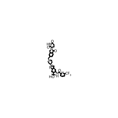 CC(C)(O)c1cc2nn(C3CCN(Cc4ccc5c(c4)CN(C4CCC(=O)NC4=O)C5=O)CC3)cc2cc1NC(=O)c1cccc(C(F)(F)F)n1